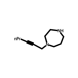 CCCC#CCN1CCCNCC1